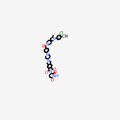 CC1CC2(CCN(C(=O)c3ccc(N4CCC(N5Cc6cc7c(cc6C5)C(=O)N(C5CCC(=O)NC5=O)C7=O)CC4)cc3)CC2)CN1c1ccc(C#N)c(Cl)c1